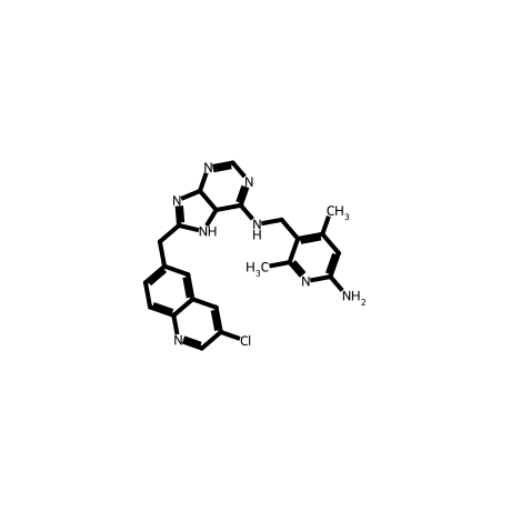 Cc1cc(N)nc(C)c1CNC1=NC=NC2N=C(Cc3ccc4ncc(Cl)cc4c3)NC12